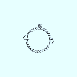 [Br-].[Br-].c1cc2c[n+](c1)CCCCCCCCCCCCc1ccc[n+](c1)CCCCCCCCCCCC2